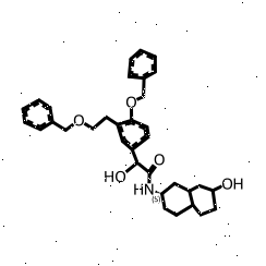 O=C(N[C@H]1CCC2CCC(O)CC2C1)C(O)c1ccc(OCc2ccccc2)c(CCOCc2ccccc2)c1